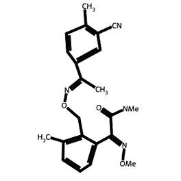 CNC(=O)/C(=N/OC)c1cccc(C)c1CO/N=C(\C)c1ccc(C)c(C#N)c1